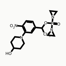 CC(OP(=O)(N1CC1)N1CC1)c1ccc([N+](=O)[O-])c(N2CCC(O)CC2)c1